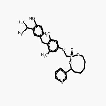 Cc1cc(OCP2(=O)OCCCCCC(c3cccnc3)O2)cc(C)c1Cc1ccc(O)c(C(C)C)c1